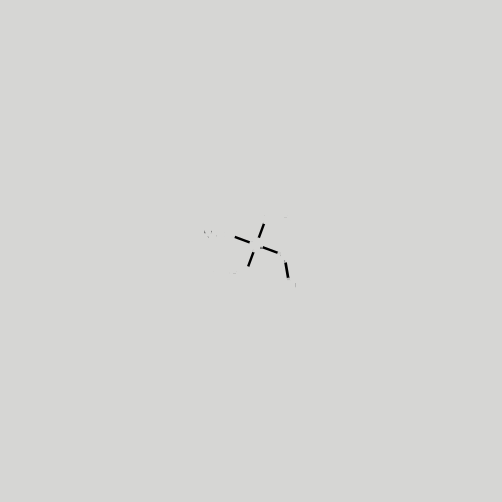 CCCCC[Si](CCCCC)(OC)OCC